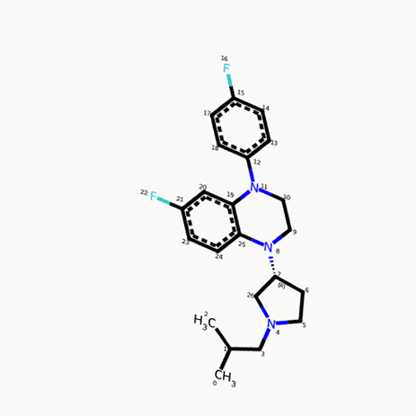 CC(C)CN1CC[C@@H](N2CCN(c3ccc(F)cc3)c3cc(F)ccc32)C1